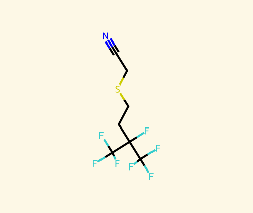 N#CCSCCC(F)(C(F)(F)F)C(F)(F)F